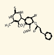 COc1cc(C2NC(=S)NC(C)=C2C(=O)O)cc(Br)c1OC(=O)C=Cc1ccccc1